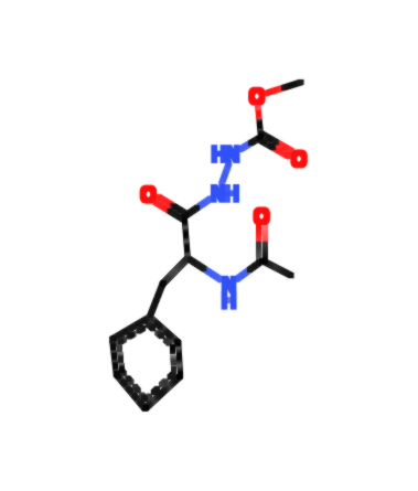 COC(=O)NNC(=O)C(Cc1ccccc1)NC(C)=O